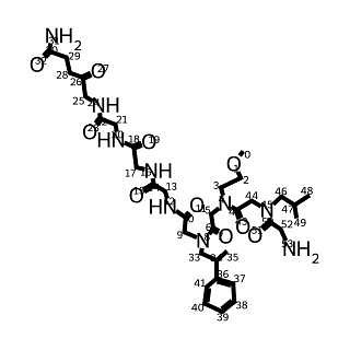 COCCN(CC(=O)N(CC(=O)NCC(=O)NCC(=O)NCC(=O)NCC(=O)CCC(N)=O)CC(C)c1ccccc1)C(=O)CN(CC(C)C)C(=O)CN